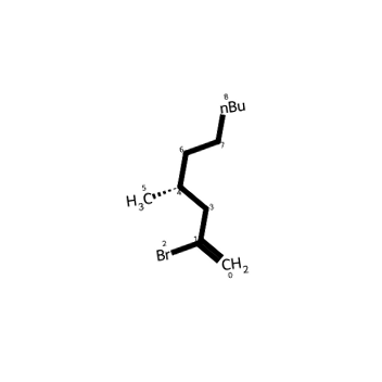 C=C(Br)C[C@H](C)CCCCCC